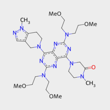 COCCN(CCOC)c1nc(N2CCc3c(cnn3C)C2)c2nc(N(CCOC)CCOC)nc(N3CCN(C)C(=O)C3)c2n1